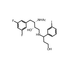 CC(=O)N[C@@H](Cc1cc(F)cc(F)c1)[C@@H](O)CNC(CCO)c1cccc(I)c1